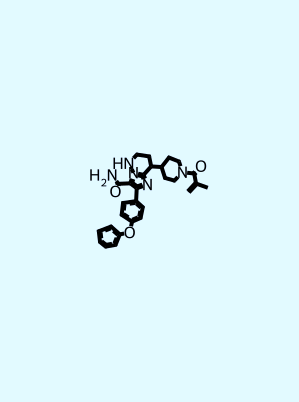 C=C(C)C(=O)N1CCC(C2CCNn3c2nc(-c2ccc(Oc4ccccc4)cc2)c3C(N)=O)CC1